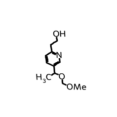 COCOC(C)c1ccc(CCO)nc1